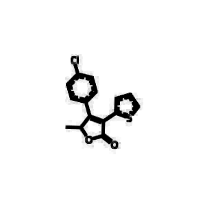 CC1OC(=O)C(c2cccs2)=C1c1ccc(Cl)cc1